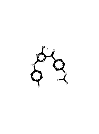 Nc1nc(Nc2ccc(F)cc2)sc1C(=O)c1ccc(OC(F)F)cc1